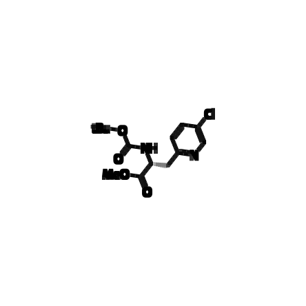 COC(=O)[C@@H](Cc1ccc(Cl)cn1)NC(=O)OC(C)(C)C